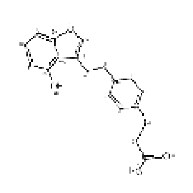 O=C(O)CCc1ccc(CCc2coc3cccc(O)c23)cc1